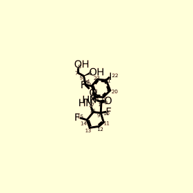 O=C(NOC[C@H](O)CO)C1(F)C=CC=C(F)C1Nc1ccc(I)cc1F